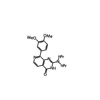 CCCN(CCC)c1nc2c(-c3ccc(OC)c(OC)c3)nccc2c(=O)[nH]1